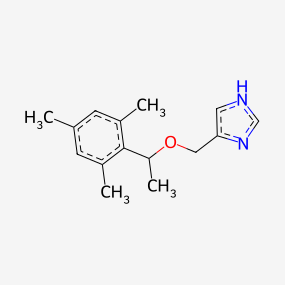 Cc1cc(C)c(C(C)OCc2c[nH]cn2)c(C)c1